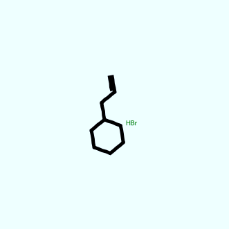 Br.C=CCC1CCCCC1